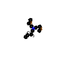 CC1C=c2ccccc2=CC1c1cccc(-c2ccc(N(c3ccc(-c4cccc5c4sc4ccccc45)cc3)c3ccc(-c4cccc5sc6c#cccc6c45)cc3)cc2)c1